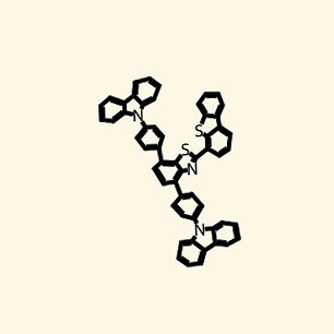 c1ccc2c(c1)sc1c(-c3nc4c(-c5ccc(-n6c7ccccc7c7ccccc76)cc5)ccc(-c5ccc(-n6c7ccccc7c7ccccc76)cc5)c4s3)cccc12